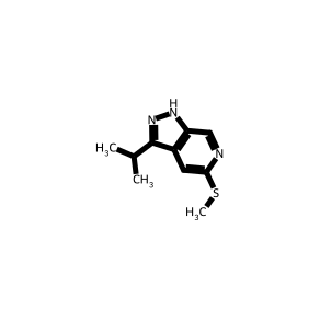 CSc1cc2c(C(C)C)n[nH]c2cn1